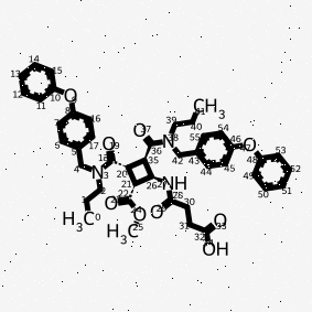 CCCN(Cc1ccc(Oc2ccccc2)cc1)C(=O)[C@H]1[C@@H](C(=O)OC)[C@H](NC(=O)CCC(=O)O)[C@@H]1C(=O)N(CCC)Cc1ccc(Oc2ccccc2)cc1